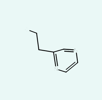 [O]CCc1cnccn1